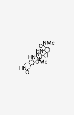 CNC(=O)c1ccccc1Nc1nc(Nc2cc3c(cc2OC)CC(=O)NCC3)ncc1Cl